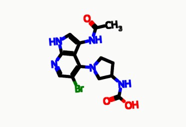 CC(=O)Nc1c[nH]c2ncc(Br)c(N3CCC(NC(=O)O)C3)c12